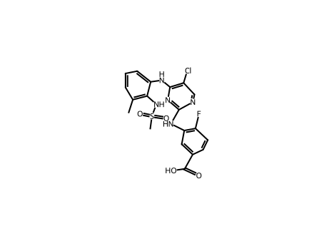 Cc1cccc(Nc2nc(Nc3cc(C(=O)O)ccc3F)ncc2Cl)c1NS(C)(=O)=O